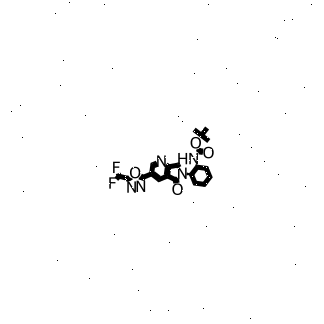 CC(C)(C)OC(=O)N[C@@H]1CCCC[C@H]1N1Cc2ncc(-c3nnc(C(F)F)o3)cc2C1=O